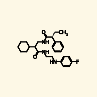 CC[C@@H](C(=O)NCC(C(=O)NCCNc1ccc(F)cc1)C1CCCCC1)c1ccccc1